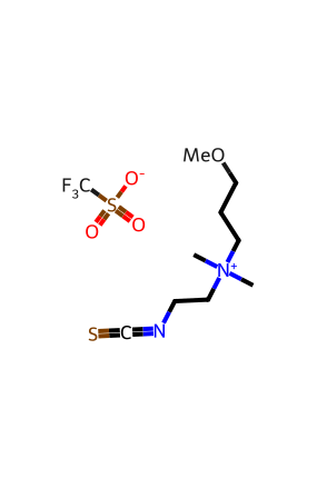 COCCC[N+](C)(C)CCN=C=S.O=S(=O)([O-])C(F)(F)F